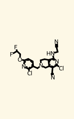 N#CCNc1nc(Cl)c(C#N)c2c1CCN(Cc1ccc(OCC(F)F)nc1Cl)C2